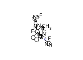 CN(c1nc(OC[C@@]23CCCN2C[C@H](F)C3)nc2c(F)c(-c3cccc4cccc(Cl)c34)ncc12)[C@@H]1CCN(C(=O)/C=C/c2ncncc2F)C1